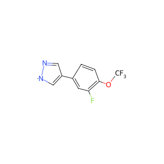 Fc1cc(C2=C[N]N=C2)ccc1OC(F)(F)F